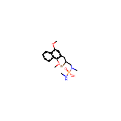 CNP(=O)(O)N(C)CC(Br)Cc1cc(OC)c2ccccc2c1OC